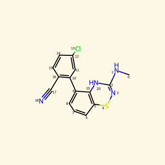 CNC1=NSc2cccc(-c3cc(Cl)ccc3C#N)c2N1